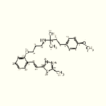 COc1ccc(CCC(C)(C)NCCCOc2ccccc2C=Cc2nnc(C)s2)cc1